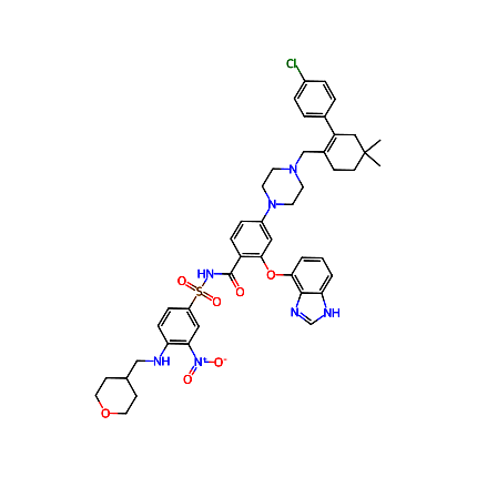 CC1(C)CCC(CN2CCN(c3ccc(C(=O)NS(=O)(=O)c4ccc(NCC5CCOCC5)c([N+](=O)[O-])c4)c(Oc4cccc5[nH]cnc45)c3)CC2)=C(c2ccc(Cl)cc2)C1